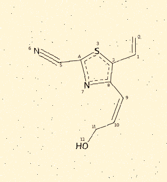 C=Cc1sc(C#N)nc1/C=C\CO